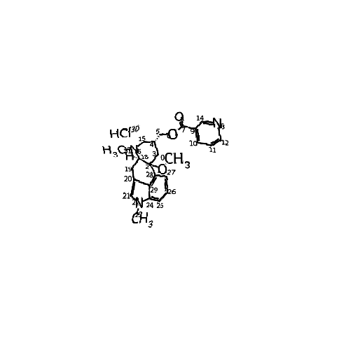 COC12C[C@@H](COC(=O)c3cccnc3)CN(C)[C@@H]1Cc1cn(C)c3cccc2c13.Cl